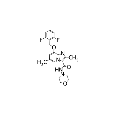 Cc1cc(OCc2c(F)cccc2F)c2nc(C)c(C(=O)NN3CCOCC3)n2c1